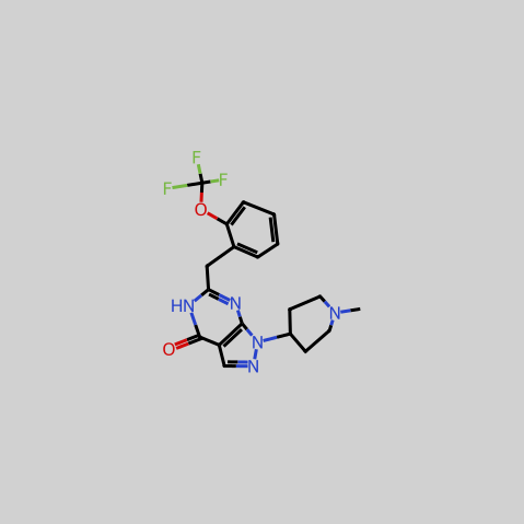 CN1CCC(n2ncc3c(=O)[nH]c(Cc4ccccc4OC(F)(F)F)nc32)CC1